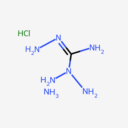 Cl.N.NN=C(N)N(N)N